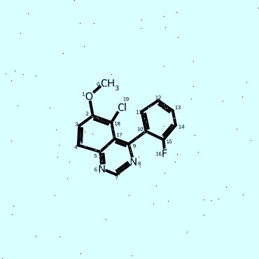 COc1ccc2n[c]nc(-c3ccccc3F)c2c1Cl